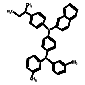 CCC(C)c1ccc(N(c2ccc(N(c3cccc(C)c3)c3cccc(C)c3)cc2)c2ccc3ccccc3c2)cc1